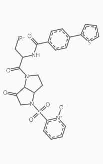 CC(C)CC(NC(=O)c1ccc(-c2cccs2)cc1)C(=O)N1CCC2C1C(=O)CN2S(=O)(=O)c1cccc[n+]1[O-]